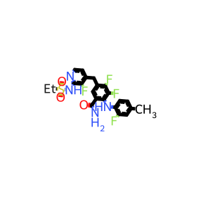 CCS(=O)(=O)Nc1nccc(Cc2cc(C(N)=O)c(Nc3ccc(C)cc3F)c(F)c2F)c1F